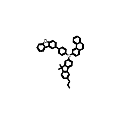 CCCc1ccc2c(c1)-c1ccc(N(c3ccc(-c4ccc5oc6ccccc6c5c4)cc3)c3ccc4ccc5ccccc5c4c3)cc1C2(C)C